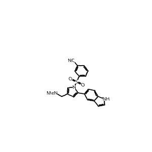 CNCc1cc(-c2ccc3[nH]ccc3c2)n(S(=O)(=O)c2cccc(C#N)c2)c1